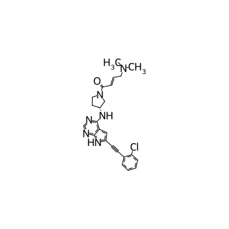 CN(C)CC=CC(=O)N1CC[C@@H](Nc2ncnc3[nH]c(C#Cc4ccccc4Cl)cc23)C1